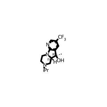 CC(C)N1CCN2c3ncc(C(F)(F)F)cc3[C@@](C)(O)[C@@H]2C1